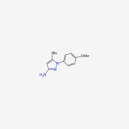 COc1ccc(-n2nc(N)cc2C(C)(C)C)cc1